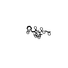 CC1(C)[C@H](C(=O)OCC2CO2)N2C(=O)/C(=C\c3cccc[n+]3[O-])[C@H]2S1(=O)=O